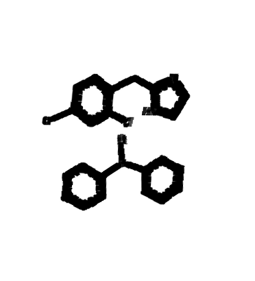 CCB(c1ccccc1)c1ccccc1.Clc1ccc(Cc2ncc[nH]2)c(Cl)c1